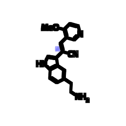 COc1ccncc1/C=C(\C#N)c1c[nH]c2ccc(CCN)cc12